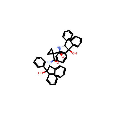 O=C(N[C@H](c1ccccc1)C(O)(c1ccccc1)c1ccccc1)C1(C(=O)N[C@H](c2ccccc2)C(O)(c2ccccc2)c2ccccc2)CC1